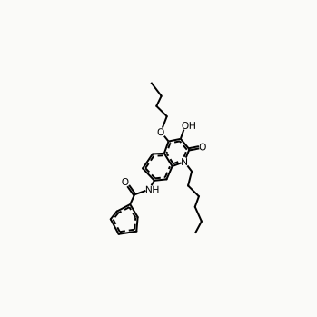 CCCCCCn1c(=O)c(O)c(OCCCC)c2ccc(NC(=O)c3ccccc3)cc21